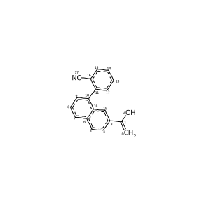 C=C(O)c1ccc2cccc(-c3ccccc3C#N)c2c1